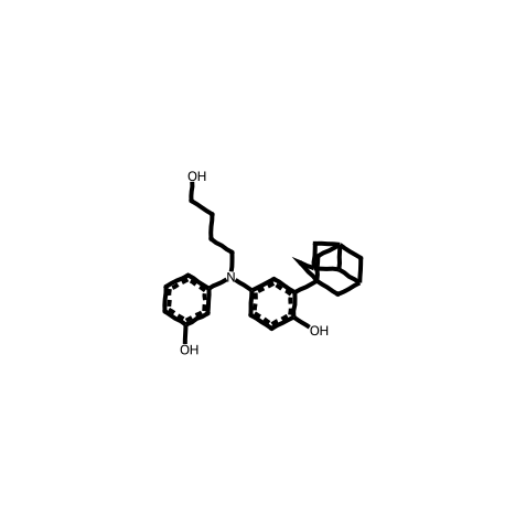 OCCCCN(c1cccc(O)c1)c1ccc(O)c(C23CC4CC5(CC(C2)C45)C3)c1